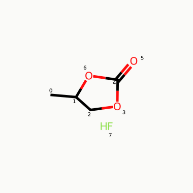 CC1COC(=O)O1.F